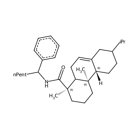 CCCCCC(NC(=O)[C@]1(C)CCC[C@@]2(C)C1CC=C1CC(C(C)C)CC[C@@H]12)c1ccccc1